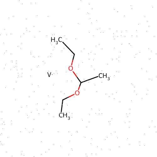 CCOC(C)OCC.[V]